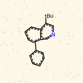 CC(C)(C)c1cncc2c(-c3ccccc3)cccc12